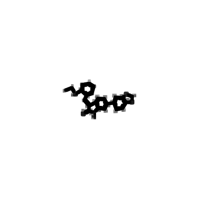 CCOc1ccccc1/C=C1/C(=O)Nc2cc(-c3ccc4c(c3)OCO4)ccc21